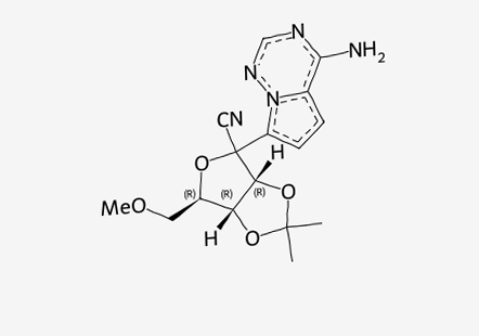 COC[C@H]1OC(C#N)(c2ccc3c(N)ncnn23)[C@@H]2OC(C)(C)O[C@@H]21